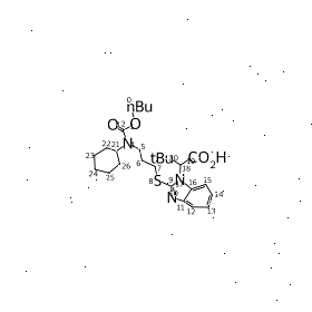 CCCCOC(=O)N(CCCSc1nc2ccccc2n1C(C(=O)O)C(C)(C)C)C1CCCCC1